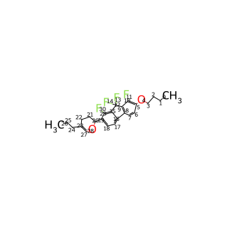 CCCCOc1ccc2c(c1F)C(F)(F)c1c-2ccc(C2CCC(CCC)=CO2)c1F